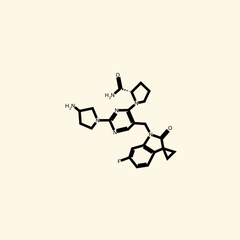 NC(=O)[C@@H]1CCCN1c1nc(N2CCC(N)C2)ncc1CN1C(=O)C2(CC2)c2ccc(F)cc21